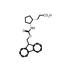 O=C(O)CC[C@H]1CCC[C@H]1NC(=O)OCC1c2ccccc2-c2ccccc21